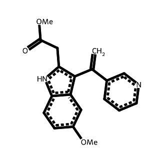 C=C(c1cccnc1)c1c(CC(=O)OC)[nH]c2ccc(OC)cc12